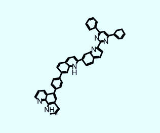 C/C=C\c1cc(-c2ccc(C3=CC4NC(c5ccc6ccc(-c7nc(C8=CC=CCC8)cc(-c8ccccc8)n7)nc6c5)=CC=C4C=C3)cc2)c2cccnc2c1N